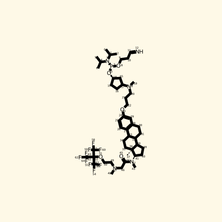 CC(C)N(C(C)C)P(OCCC=N)O[C@@H]1CCC(N(C)CCCOc2ccc3c(c2)CCC2C3CC[C@@]3(C)C2CC[C@@H]3N(C)C(=O)CN(C)CCOC(C(F)(F)F)(C(F)(F)F)C(F)(F)F)C1